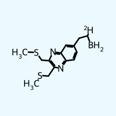 [2H]C(B)Cc1ccc2nc(CSC)c(CSC)nc2c1